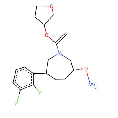 C=C(OC1CCOC1)N1C[C@H](ON)CC[C@@H](c2cccc(F)c2F)C1